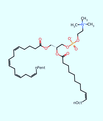 CCCCC/C=C\C/C=C\C/C=C\C/C=C\CCCC(=O)OC[C@H](COP(=O)([O-])OCC[N+](C)(C)C)OC(=O)CCCCCCC/C=C\CCCCCCCC